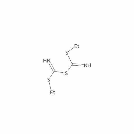 CCSC(=N)SC(=N)SCC